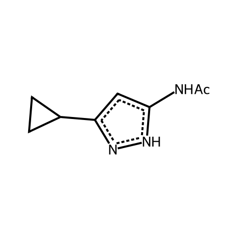 CC(=O)Nc1cc(C2CC2)n[nH]1